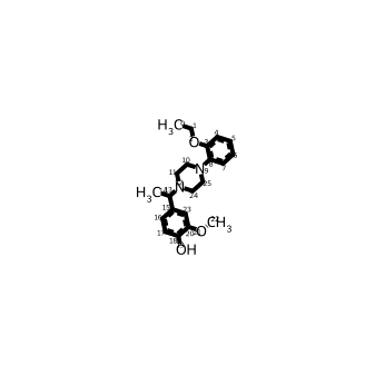 CCOc1ccccc1N1CCN(C(C)c2ccc(O)c(OC)c2)CC1